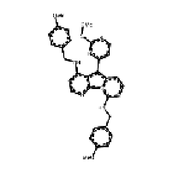 COSc1nccc(-c2c3c(NCc4ccc(OC)cc4)ccnc3n3c(NCc4ccc(OC)cc4)nccc23)n1